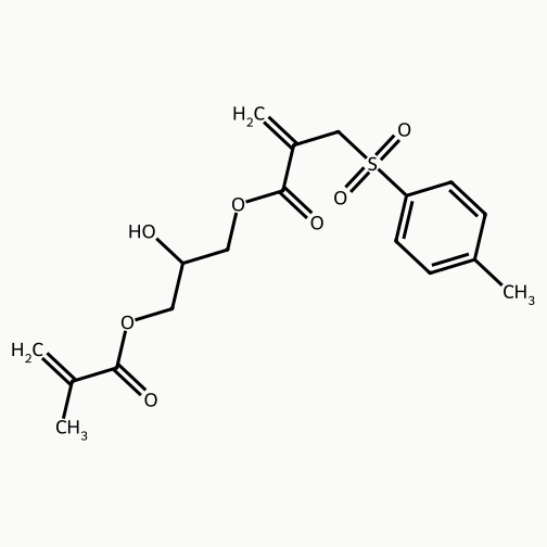 C=C(C)C(=O)OCC(O)COC(=O)C(=C)CS(=O)(=O)c1ccc(C)cc1